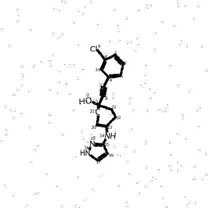 OC1(C#Cc2cccc(Cl)c2)CCC(Nc2cc[nH]n2)CC1